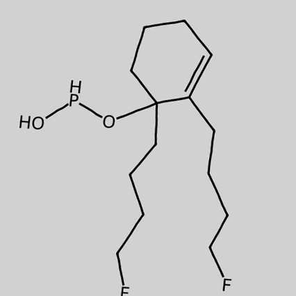 OPOC1(CCCCF)CCCC=C1CCCCF